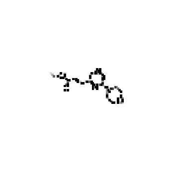 CCOC(=O)/C=C/c1cncc(N2CCOCC2)n1